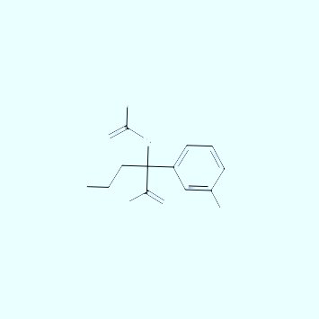 CC(=O)NC(CCF)(C(=O)O)c1cccc(C)c1